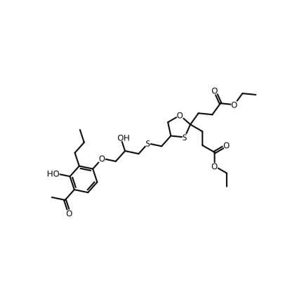 CCCc1c(OCC(O)CSCC2COC(CCC(=O)OCC)(CCC(=O)OCC)S2)ccc(C(C)=O)c1O